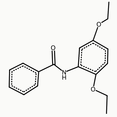 CCOc1ccc(OCC)c(NC(=O)c2ccccc2)c1